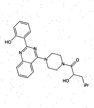 CC(C)CC(O)C(=O)N1CCN(c2nc(-c3ccccc3O)nc3ccccc23)CC1